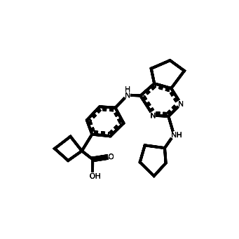 O=C(O)C1(c2ccc(Nc3nc(NC4CCCC4)nc4c3CCC4)cc2)CCC1